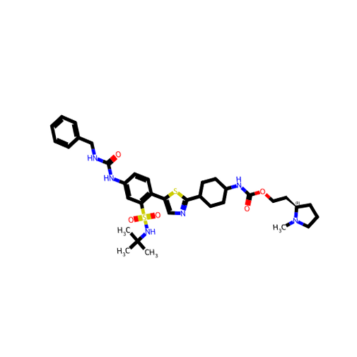 CN1CCC[C@@H]1CCOC(=O)NC1CCC(c2ncc(-c3ccc(NC(=O)NCc4ccccc4)cc3S(=O)(=O)NC(C)(C)C)s2)CC1